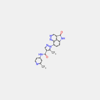 O=C(Nc1ccnc(C(F)(F)F)c1)c1cnn(-c2ccc3c4c(cnnc24)C(=O)N3)c1C(F)(F)F